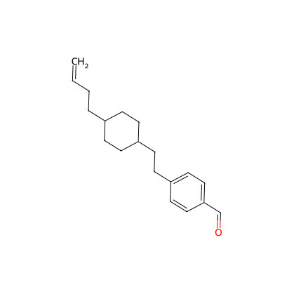 C=CCCC1CCC(CCc2ccc(C=O)cc2)CC1